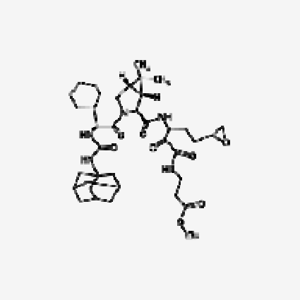 CC(C)(C)OC(=O)CCNC(=O)C(=O)C(CCC1CO1)NC(=O)[C@@H]1[C@@H]2[C@H](CN1C(=O)[C@@H](NC(=O)NC13CC4CC(CC(C4)C1)C3)C1CCCCC1)C2(C)C